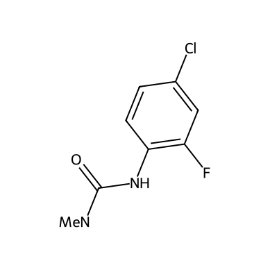 CNC(=O)Nc1ccc(Cl)cc1F